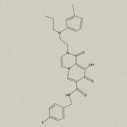 CCCN(CCn1ccn2cc(C(=O)NCc3ccc(F)cc3)c(=O)c(O)c2c1=O)c1cccc(C)c1